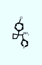 NC(c1ccsc1)C1(c2ccc(Cl)cc2)CCC1